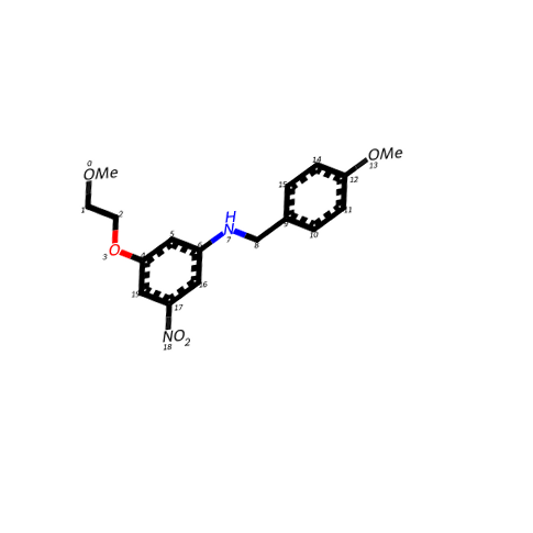 COCCOc1cc(NCc2ccc(OC)cc2)cc([N+](=O)[O-])c1